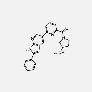 CNC1CCN(C(=O)c2cccc(-c3cnc4[nH]c(-c5ccccc5)cc4c3)n2)C1